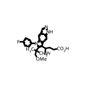 CCCC(CCC(=O)O)c1c(C(C)(C)COC)n(-c2ccc(F)cc2)c2cc3cn[nH]c3cc12